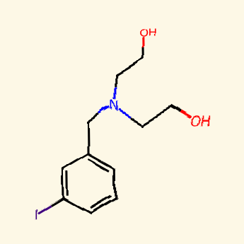 OCCN(CCO)Cc1cccc(I)c1